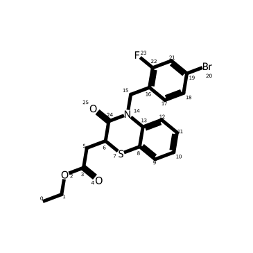 CCOC(=O)CC1Sc2ccccc2N(Cc2ccc(Br)cc2F)C1=O